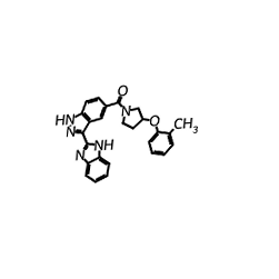 Cc1ccccc1OC1CCN(C(=O)c2ccc3[nH]nc(-c4nc5ccccc5[nH]4)c3c2)C1